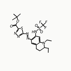 CCC1CCc2cc(N=Nc3nnc(C(=O)OC(C)(C)C)s3)c(NS(=O)(=O)C(F)(F)F)cc2N1CC